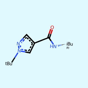 CC[C@@H](C)NC(=O)c1cnn(C(C)(C)C)c1